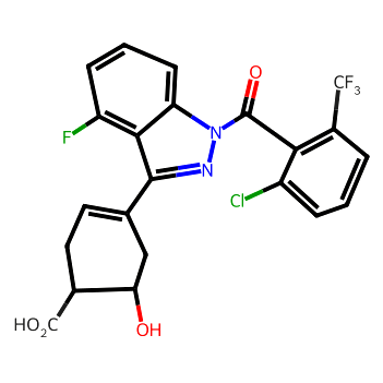 O=C(O)C1CC=C(c2nn(C(=O)c3c(Cl)cccc3C(F)(F)F)c3cccc(F)c23)CC1O